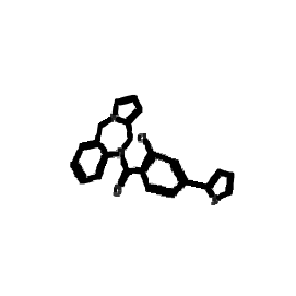 O=C(c1ccc(-c2cccs2)cc1Cl)N1Cc2cccn2Cc2ccccc21